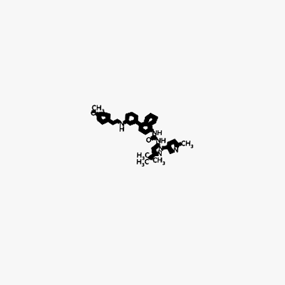 COc1ccc(CCNC2C=C(c3ccc(NC(=O)Nc4cc(C(C)(C)C)nn4-c4ccc(C)nc4)c4ccccc34)CCC2)cc1